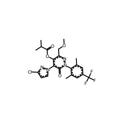 COCc1nn(-c2c(C)cc(C(F)(F)F)cc2C)c(=O)c(-n2ccc(Cl)n2)c1OC(=O)C(C)C